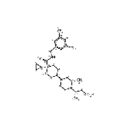 C[C@@H](CC(=O)O)N1CCN([C@@H]2CC[C@@](C(=O)NCc3cc(Cl)cc(C(F)(F)F)c3)(C3CC3)OC2)C[C@@H]1C